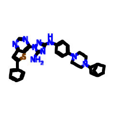 Nc1nc(Nc2ccc(N3CCN(C4CC5CCC4C5)CC3)cc2)nn1-c1ncnc2cc(-c3ccccc3)sc12